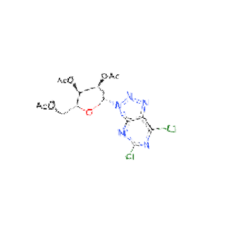 CC(=O)OC[C@H]1O[C@@H](n2nnc3c(Cl)nc(Cl)nc32)[C@H](OC(C)=O)[C@@H]1OC(C)=O